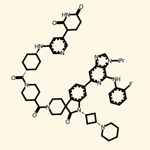 CC(C)n1cnc2cc(-c3ccc4c(c3)N([C@H]3C[C@@H](N5CCCCC5)C3)C(=O)C43CCN(C(=O)C4CCN(C(=O)[C@H]5CC[C@H](Nc6cncc(C7CCC(=O)NC7=O)c6)CC5)CC4)CC3)nc(Nc3ccccc3F)c21